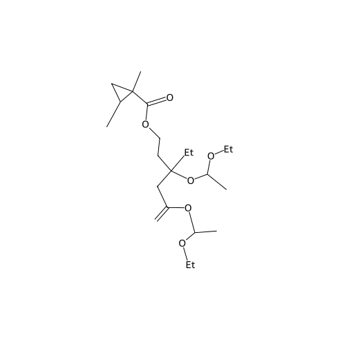 C=C(CC(CC)(CCOC(=O)C1(C)CC1C)OC(C)OCC)OC(C)OCC